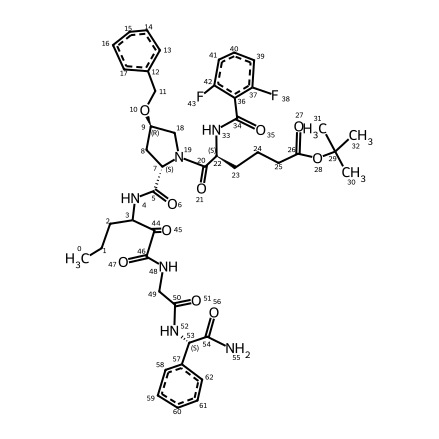 CCCC(NC(=O)[C@@H]1C[C@@H](OCc2ccccc2)CN1C(=O)[C@H](CCCC(=O)OC(C)(C)C)NC(=O)c1c(F)cccc1F)C(=O)C(=O)NCC(=O)N[C@H](C(N)=O)c1ccccc1